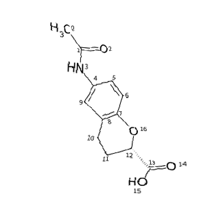 CC(=O)Nc1ccc2c(c1)CC[C@@H](C(=O)O)O2